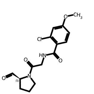 COc1ccc(C(=O)NCC(=O)N2CCC[C@H]2C=O)c(Cl)c1